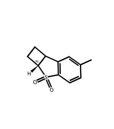 Cc1ccc2c(c1)C1CC[C@H]1S2(=O)=O